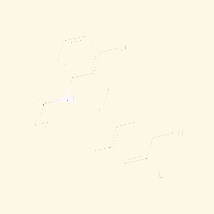 CCc1cc(C(F)(F)F)c(OCc2c(CC)cccc2NC(=S)OC)cc1C